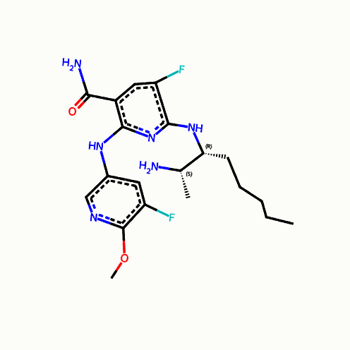 CCCCC[C@@H](Nc1nc(Nc2cnc(OC)c(F)c2)c(C(N)=O)cc1F)[C@H](C)N